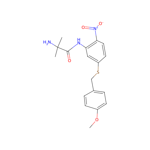 COc1ccc(CSc2ccc([N+](=O)[O-])c(NC(=O)C(C)(C)N)c2)cc1